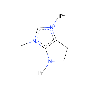 CC(C)N1CCc2c1n(C)c[n+]2C(C)C